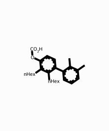 CCCCCCc1c(OC(=O)O)ccc(-c2cccc(C)c2C)c1CCCCCC